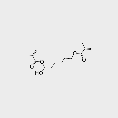 C=C(C)C(=O)OCCCCCC(O)OC(=O)C(=C)C